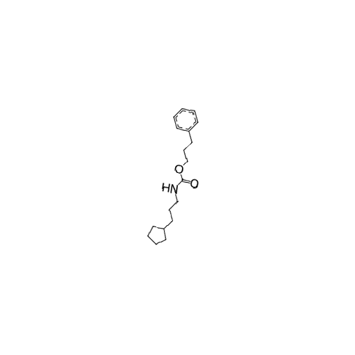 O=C(NCCCC1CCCC1)OCCCc1ccccc1